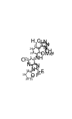 COc1c(Nc2cc(Cl)nc3c2nc(C(F)F)n3C2CCCCO2)cccc1-c1c(C)nnn1C